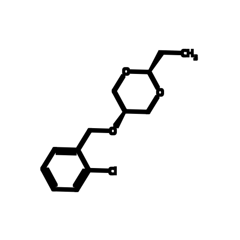 CC[C@H]1OC[C@@H](OCc2ccccc2Cl)CO1